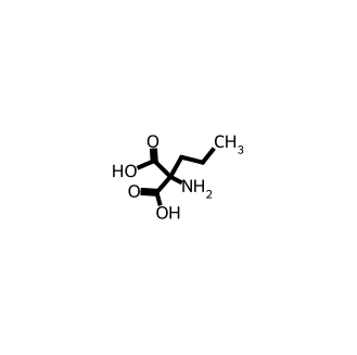 CCCC(N)(C(=O)O)C(=O)O